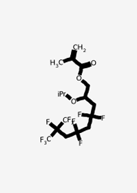 C=C(C)C(=O)OCC(CC(F)(F)CC(F)(F)CC(F)(C(F)(F)F)C(F)(F)F)OC(C)C